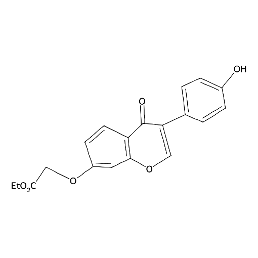 CCOC(=O)COc1ccc2c(=O)c(-c3ccc(O)cc3)coc2c1